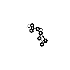 Cc1cccc2c1c1ccccc1n2-c1ccc2oc3ccc(-c4cccc(-n5c6ccccc6c6cccc(C#N)c65)c4)cc3c2c1